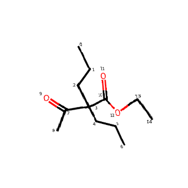 CCCC(CCC)(C(C)=O)C(=O)OCC